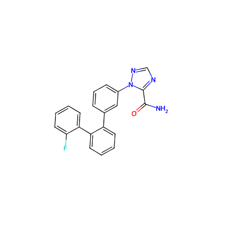 NC(=O)c1ncnn1-c1cccc(-c2ccccc2-c2ccccc2F)c1